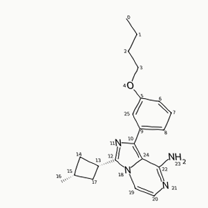 CCCCOc1cccc(-c2nc([C@H]3C[C@@H](C)C3)n3ccnc(N)c23)c1